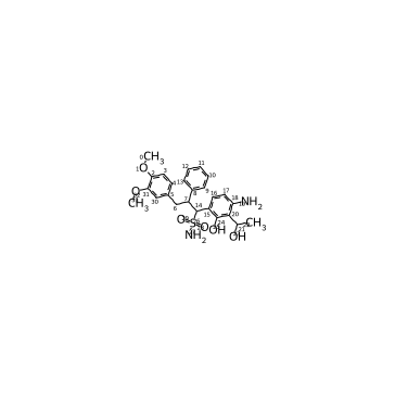 COc1ccc(CC(c2ccccc2)C(c2ccc(N)c(C(C)O)c2O)S(N)(=O)=O)cc1OC